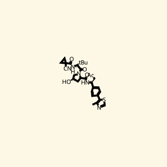 CC(=O)C[C@H](NC(=O)C1C[C@@H](O)CN1C(=O)[C@@H](NC(=O)C1(C#N)CC1)C(C)(C)C)c1ccc(-c2scnc2C)cc1